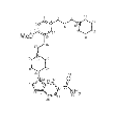 COc1ccc(CCCN2CCCCC2)cc1CCN1CCC(n2ccc3ccc(C(N)=O)cc32)CC1